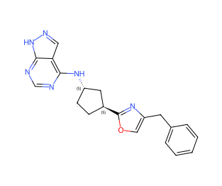 c1ccc(Cc2coc([C@H]3CC[C@H](Nc4ncnc5[nH]ncc45)C3)n2)cc1